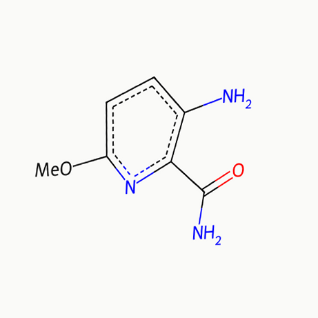 COc1ccc(N)c(C(N)=O)n1